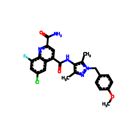 COc1ccc(Cn2nc(C)c(NC(=O)c3cc(C(N)=O)nc4c(F)cc(Cl)cc34)c2C)cc1